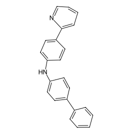 c1ccc(-c2ccc(Nc3ccc(-c4ccccn4)cc3)cc2)cc1